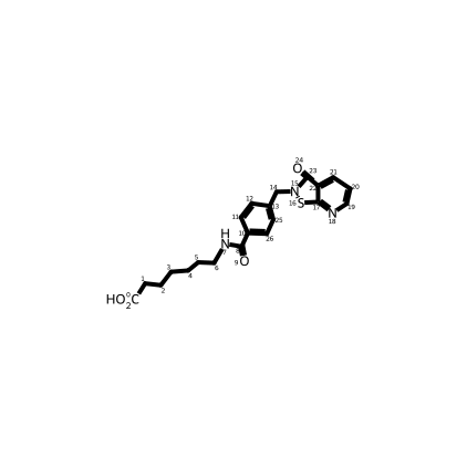 O=C(O)CCCCCCNC(=O)c1ccc(Cn2sc3ncccc3c2=O)cc1